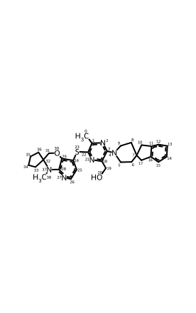 Cc1nc(N2CCC3(CC2)Cc2ccccc2C3)c(CO)nc1Sc1ccnc2c1OCC1(CCCC1)N2C